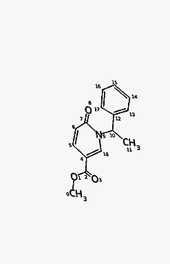 COC(=O)c1ccc(=O)n(C(C)c2ccccc2)c1